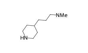 CNCCCC1CCNCC1